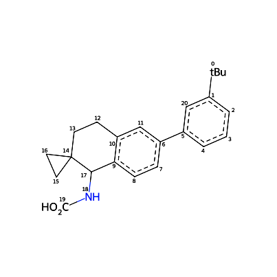 CC(C)(C)c1cccc(-c2ccc3c(c2)CCC2(CC2)C3NC(=O)O)c1